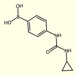 O=C(Nc1ccc(B(O)O)cc1)NC1CC1